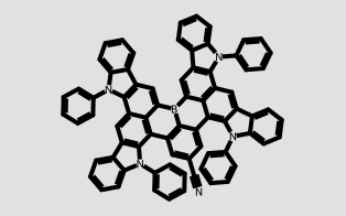 N#Cc1cc2c3c(c1)-c1c4c(cc5c6ccccc6n(-c6ccccc6)c5c4cc4c5ccccc5n(-c5ccccc5)c14)B3c1cc3c4ccccc4n(-c4ccccc4)c3c3cc4c5ccccc5n(-c5ccccc5)c4c-2c13